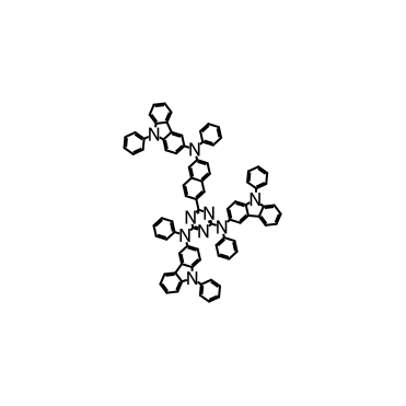 c1ccc(N(c2ccc3cc(-c4nc(N(c5ccccc5)c5ccc6c(c5)c5ccccc5n6-c5ccccc5)nc(N(c5ccccc5)c5ccc6c(c5)c5ccccc5n6-c5ccccc5)n4)ccc3c2)c2ccc3c(c2)c2ccccc2n3-c2ccccc2)cc1